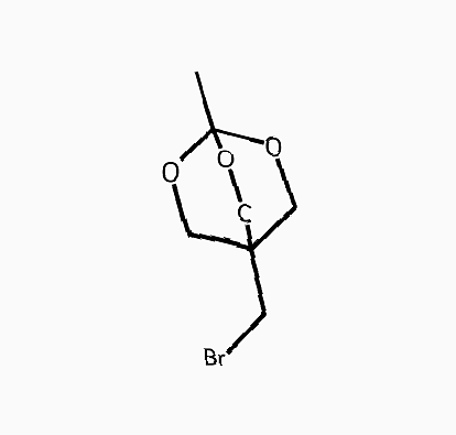 CC12OCC(CBr)(CO1)CO2